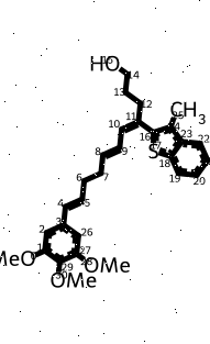 COc1cc(/C=C/CC/C=C/C=C(/CCCO)c2sc3ccccc3c2C)cc(OC)c1OC